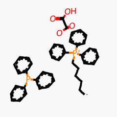 O=C([O-])C(=O)O.[CH2]CCCCC[P+](c1ccccc1)(c1ccccc1)c1ccccc1.c1ccc(P(c2ccccc2)c2ccccc2)cc1